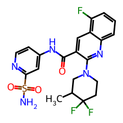 CC1CN(c2nc3cccc(F)c3cc2C(=O)Nc2ccnc(S(N)(=O)=O)c2)CCC1(F)F